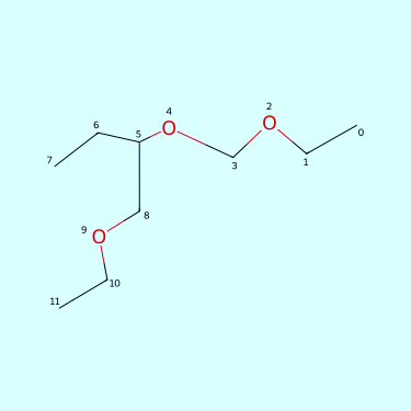 CCOCOC(CC)COCC